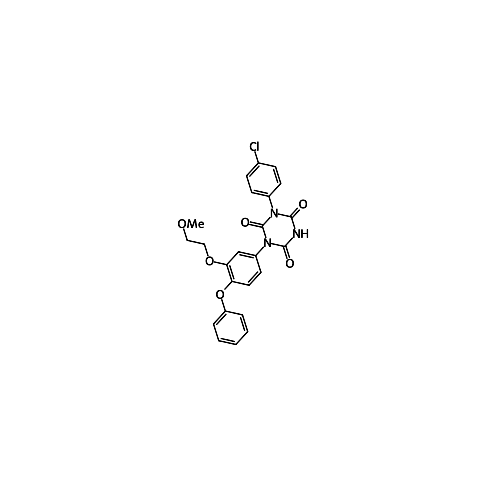 COCCOc1cc(-n2c(=O)[nH]c(=O)n(-c3ccc(Cl)cc3)c2=O)ccc1Oc1ccccc1